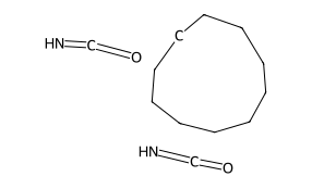 C1CCCCCCCCC1.N=C=O.N=C=O